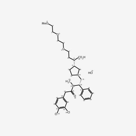 COCCOCCOCCN(C(=O)O)[C@H]1CCN(C[C@H](c2ccccc2)N(C)C(=O)Cc2ccc(Cl)c(Cl)c2)C1.Cl